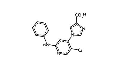 O=C(O)c1cn(-c2cc(Nc3ccccc3)ncc2Cl)cn1